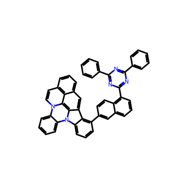 c1ccc(-c2nc(-c3ccccc3)nc(-c3cccc4cc(-c5cccc6c5c5cc7cccc8ccn9c%10ccccc%10n6c5c-9c87)ccc34)n2)cc1